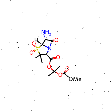 COC(=O)OC(C)(C)OC(=O)[C@@H]1N2C(=O)[C@@H](N)[C@H]2S(=O)(=O)C1(C)C